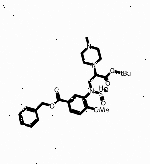 COc1ccc(C(=O)OCc2ccccc2)cc1N(CC(C(=O)OC(C)(C)C)N1CCN(C)CC1)[SH](=O)=O